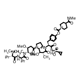 CC[C@H](C)[C@@H]([C@@H](CC(=O)N1CCC[C@H]1[C@H](OC)[C@@H](C)C(=O)N[C@@H](Cc1ccc(OC(=O)N2CCC(C(=O)NC)CC2)cc1)C(=O)NS(=O)(=O)C1CC1)OC)N(C)C(=O)[C@@H](NC(=O)[C@H](C(C)C)N(C)C)C(C)C